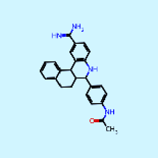 CC(=O)Nc1ccc(C2Nc3ccc(C(=N)N)cc3C3c4ccccc4CCC23)cc1